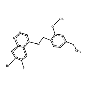 COc1ccc(CNc2cnnc3cc(Br)c(F)cc23)c(OC)c1